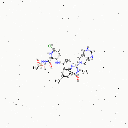 Cc1cc([C@@H](C)Nc2ccc(Cl)nc2C(=O)NS(C)(=O)=O)c2nc(N3Cc4cncnc4C3)n(C)c(=O)c2c1